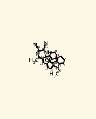 CCn1c2ccccc2c2cc(C=C3C(C)=NC(C#N)=C(C#N)NC3(O)c3ccccc3)ccc21